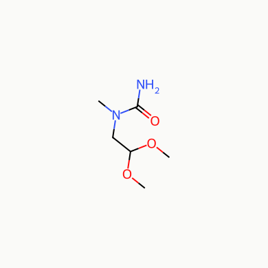 COC(CN(C)C(N)=O)OC